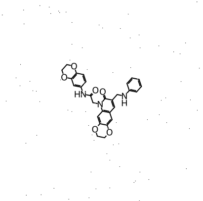 O=C(Cn1c(=O)c(CNc2ccccc2)cc2cc3c(cc21)OCCO3)Nc1ccc2c(c1)OCCO2